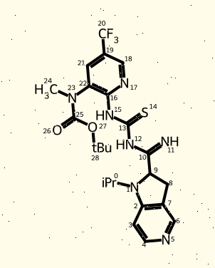 CC(C)N1c2ccncc2CC1C(=N)NC(=S)Nc1ncc(C(F)(F)F)cc1N(C)C(=O)OC(C)(C)C